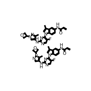 C=CC(=O)Nc1ccc2c(c1)c(C)cn2-c1nc(Nc2cn(C3COC3)nc2C)ncc1F.C=CC(=O)Nc1ccc2c(c1)c(C)cn2-c1nc(Nc2cnn(C3COC3)c2C)ncc1F